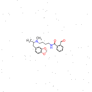 CC(Cc1ccc2c(c1)OCO2)N(C)CCCCNC(=O)c1ccccc1C=O